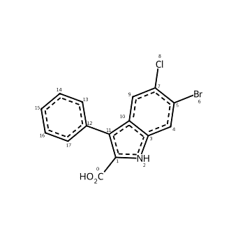 O=C(O)c1[nH]c2cc(Br)c(Cl)cc2c1-c1ccccc1